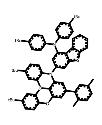 Cc1ccc(C)c(-c2cc3c4c(c2)N(c2cc(N(c5ccc(C(C)(C)C)cc5)c5ccc(C(C)(C)C)cc5)c5c(c2)sc2ccccc25)c2ccc(C(C)(C)C)cc2B4c2cc(C(C)(C)C)ccc2O3)c1